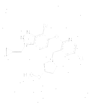 COC1CCN(Cc2cc(Cl)cnc2Oc2ccc3c(nnn3CC3CC3)c2Br)C1